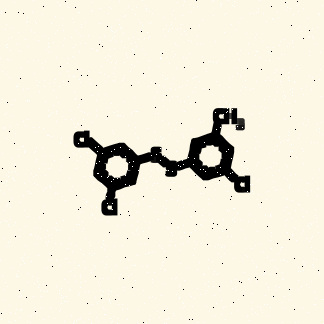 Cc1cc(Cl)cc(SSc2cc(Cl)cc(Cl)c2)c1